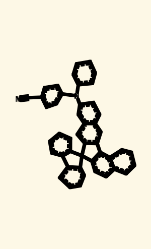 N#Cc1ccc(N(c2ccccc2)c2ccc3cc4c(cc3c2)C2(c3ccccc3-c3ccccc32)c2ccc3ccccc3c2-4)cc1